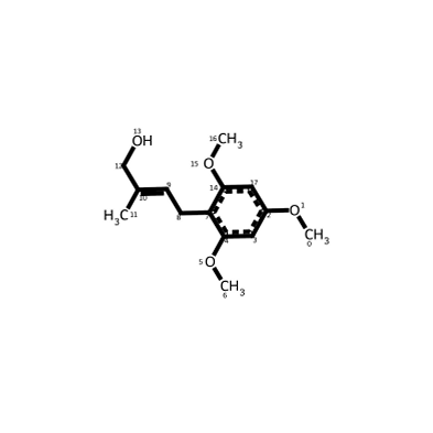 COc1cc(OC)c(C/C=C(\C)CO)c(OC)c1